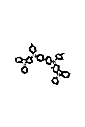 Cc1ccc(N(c2ccc(-c3ccc(N(c4ccc(C)cc4)C4C=c5c(n(-c6ccccc6)c6ccccc56)=CC4C)cc3)cc2)c2ccc3c(c2)c2ccccc2n3-c2ccccc2)cc1